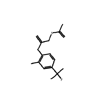 C=C(CSC(=C)C)Cc1ccc(C(C)(C)F)cc1C